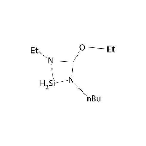 CCCCN1[SiH2]N(CC)C1OCC